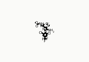 COC(=O)NN=C(C)c1nn(-c2c(Cl)cc(C(F)(F)F)cc2Cl)c(N)c1[S+](C)[O-]